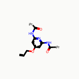 C=CCOc1cc(NC(=O)C(C)C)nc(NC(=O)C(C)C)c1